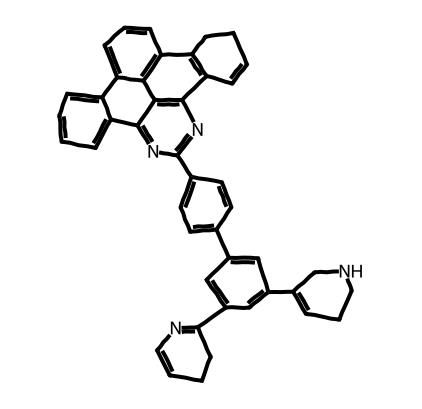 C1=CN=C(c2cc(C3=CCCNC3)cc(-c3ccc(-c4nc5c6c(c7cccc8c9ccccc9c(n4)c5c78)CCC=C6)cc3)c2)CC1